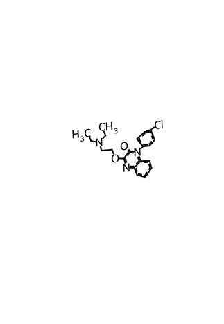 CCN(CC)CCOc1nc2ccccc2n(-c2ccc(Cl)cc2)c1=O